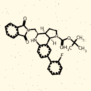 CC(C)(C)OC(=O)N1CC[C@@H]2[C@H](CN3C(=O)c4ccccc4C3=O)Nc3ccc(-c4ccccc4F)cc3[C@@H]21